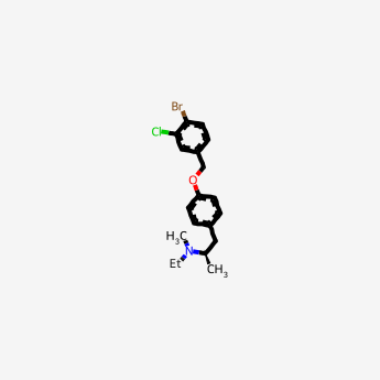 CCN(C)[C@H](C)Cc1ccc(OCc2ccc(Br)c(Cl)c2)cc1